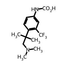 CN(C)CC(C)(C)c1ccc(NC(=O)O)cc1C(F)(F)F